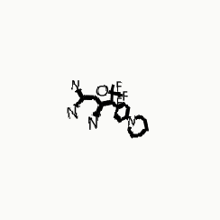 CC1(C(F)(F)F)OC(=C(C#N)C#N)C(C#N)=C1c1ccc(N2CCCCCC2)cc1